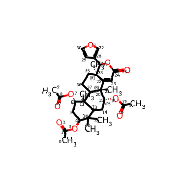 CC(=O)OC1C[C@H](OC(C)=O)[C@@]2(C)C(C[C@@H](OC(C)=O)[C@@]3(C)C4=CC(=O)OC(c5ccoc5)[C@]4(C)CCC23)C1(C)C